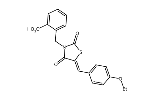 CCOc1ccc(/C=C2\SC(=O)N(Cc3ccccc3C(=O)O)C2=O)cc1